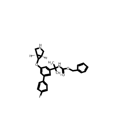 CC(C)(NC(=O)OCc1ccccc1)c1cc(OC2[C@H]3CNC[C@@H]23)cc(-c2ccc(F)cc2)c1